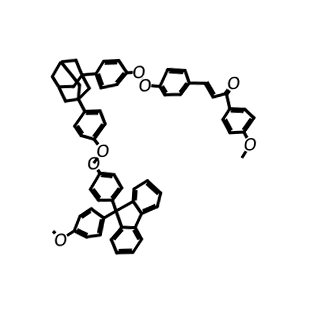 COc1ccc(C(=O)C=Cc2ccc(OOc3ccc(C45CC6CC(C4)CC(c4ccc(OOc7ccc(C8(c9ccc(OC)cc9)c9ccccc9-c9ccccc98)cc7)cc4)(C6)C5)cc3)cc2)cc1